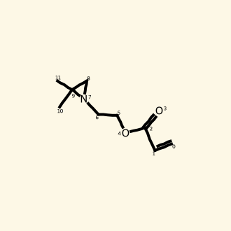 C=CC(=O)OCCN1CC1(C)C